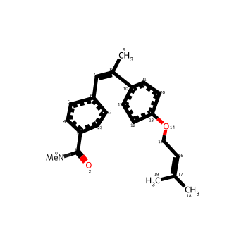 CNC(=O)c1ccc(C=C(C)c2ccc(OCC=C(C)C)cc2)cc1